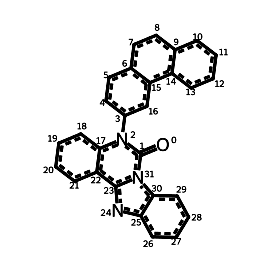 O=c1n(-c2ccc3ccc4ccccc4c3c2)c2ccccc2c2nc3ccccc3n12